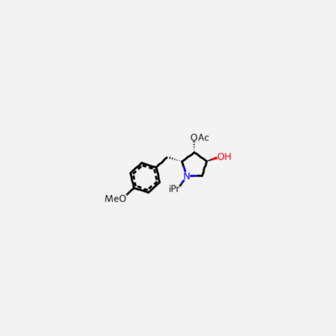 COc1ccc(C[C@@H]2[C@H](OC(C)=O)[C@@H](O)CN2C(C)C)cc1